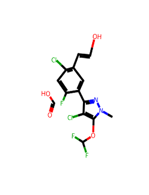 Cn1nc(-c2cc(C=CO)c(Cl)cc2F)c(Cl)c1OC(F)F.O=CO